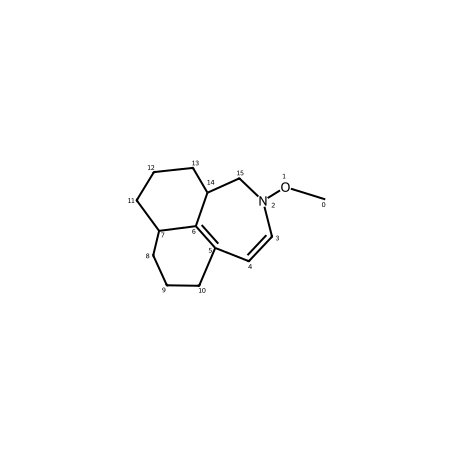 CON1C=CC2=C3C(CCC2)CCCC3C1